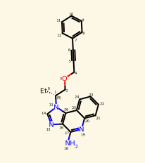 CC[C@H](COCC#Cc1ccccc1)n1cnc2c(N)nc3ccccc3c21